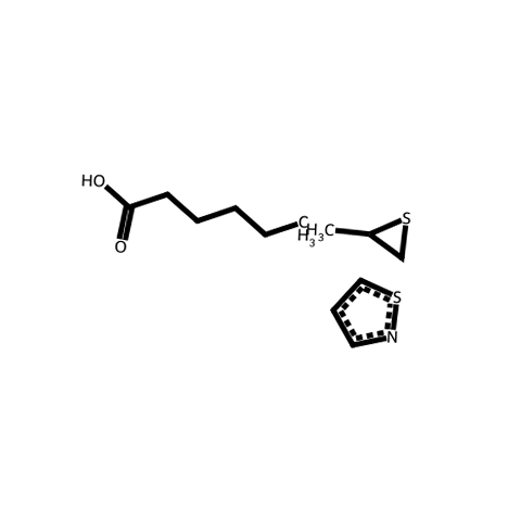 CC1CS1.CCCCCC(=O)O.c1cnsc1